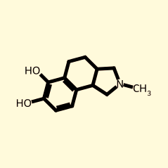 CN1CC2CCc3c(ccc(O)c3O)C2C1